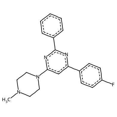 CN1CCN(c2cc(-c3ccc(F)cc3)nc(-c3ccccc3)n2)CC1